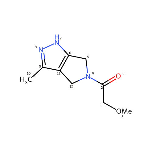 COCC(=O)N1Cc2[nH]nc(C)c2C1